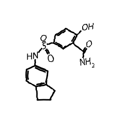 NC(=O)c1cc(S(=O)(=O)Nc2ccc3c(c2)CCC3)ccc1O